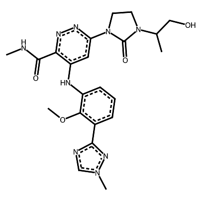 CNC(=O)c1nnc(N2CCN(C(C)CO)C2=O)cc1Nc1cccc(-c2ncn(C)n2)c1OC